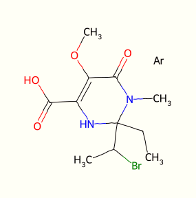 CCC1(C(C)Br)NC(C(=O)O)=C(OC)C(=O)N1C.[Ar]